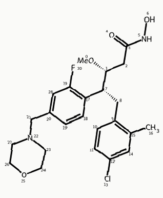 CO[C@H](CC(=O)NO)[C@H](Cc1ccc(Cl)cc1C)c1ccc(CN2CCOCC2)cc1F